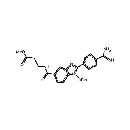 CCCCCCCCCCn1c(-c2ccc(C(=N)N)cc2)nc2cc(C(=O)NCCC(=O)OC)ccc21